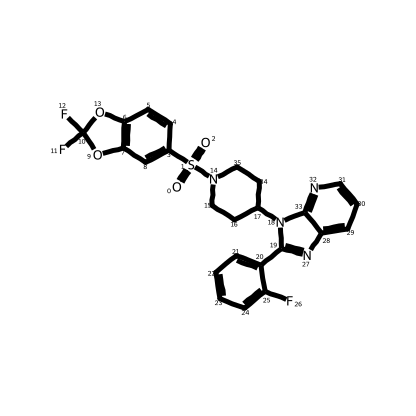 O=S(=O)(c1ccc2c(c1)OC(F)(F)O2)N1CCC(n2c(-c3ccccc3F)nc3cccnc32)CC1